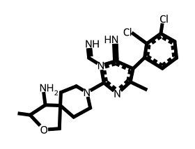 Cc1nc(N2CCC3(CC2)COC(C)C3N)n(C=N)c(=N)c1-c1cccc(Cl)c1Cl